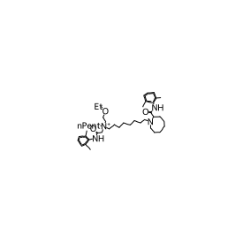 CCCCC[N+](CCCCCCCCN1CCCCCCC1C(=O)Nc1c(C)cccc1C)(CCOCC)CC(=O)Nc1c(C)cccc1C